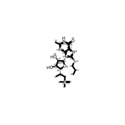 C=P(C)(C)CC(C)[C@H]1O[C@@H](n2c(SCCC)nc3c(=O)[nH]c(C)nc32)[C@H](O)[C@@H]1O